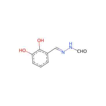 O=CN/N=C/c1cccc(O)c1O